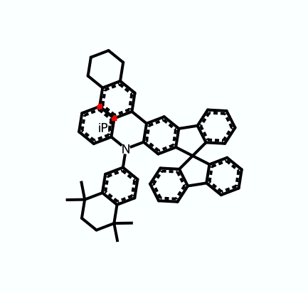 CC(C)c1cc2c(cc1-c1cc3c(cc1N(c1ccccc1)c1ccc4c(c1)C(C)(C)CCC4(C)C)C1(c4ccccc4-c4ccccc41)c1ccccc1-3)CCCC2